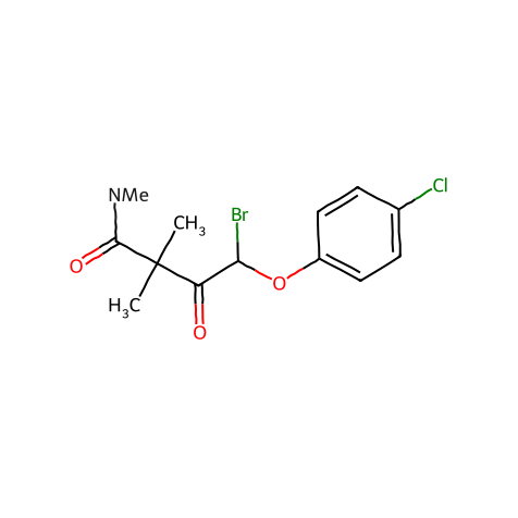 CNC(=O)C(C)(C)C(=O)C(Br)Oc1ccc(Cl)cc1